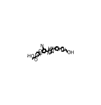 CC(O)C(=O)N1CC[C@H](Oc2ccc(-c3ncnc(Nc4ccc(N5CCN(CCO)CC5)cc4)n3)cc2C#N)[C@H](F)C1